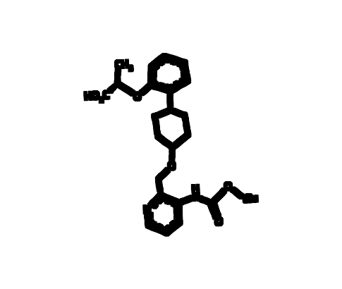 C[C@@H](Oc1ccccc1C1CCC(OCc2ncccc2NC(=O)OC(C)(C)C)CC1)C(=O)O